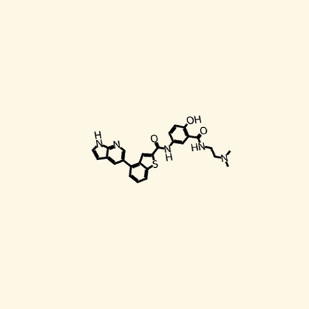 CN(C)CCNC(=O)c1cc(NC(=O)c2cc3c(-c4cnc5[nH]ccc5c4)cccc3s2)ccc1O